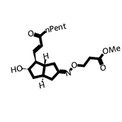 CCCCCC(=O)C=C[C@H]1[C@@H]2C/C(=N\OCCC(=O)OC)C[C@H]2C[C@@H]1O